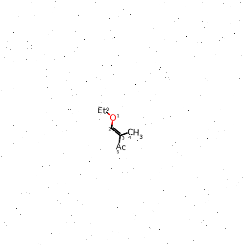 CCOC=C(C)C(C)=O